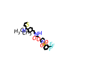 CN(C)C(c1cccs1)C1CCC(CCNC(=O)COC2CCN(S(=O)(=O)c3cccc(C(F)(F)F)c3)C2)CC1